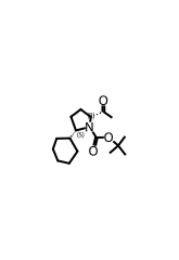 CC(=O)[C@H]1CC[C@@H](C2CCCCC2)N1C(=O)OC(C)(C)C